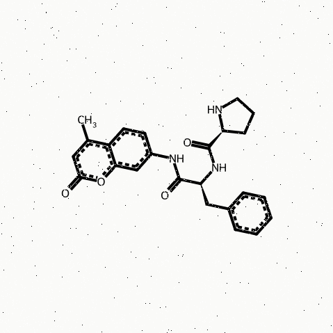 Cc1cc(=O)oc2cc(NC(=O)[C@H](Cc3ccccc3)NC(=O)[C@@H]3CCCN3)ccc12